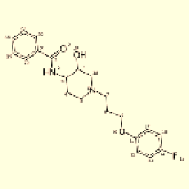 O=C(NC1CCN(CCCOc2ccc(F)cc2)CC1O)c1ccccc1